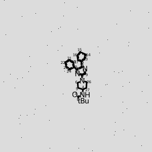 CC(C)(C)C(=O)NC1CCN(c2cnc(-c3ccccc3)c(-c3ccccc3)n2)CC1